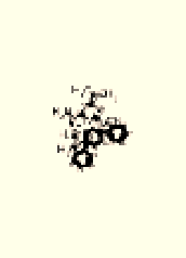 CN(C)c1nc(N(C)C)nc(N(C)C2(c3ccccc3)CCC(c3ccccc3)(N(C)C)CC2)n1